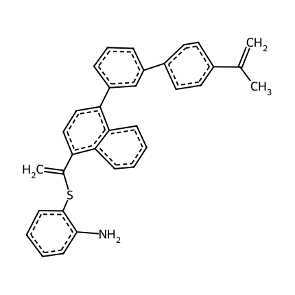 C=C(C)c1ccc(-c2cccc(-c3ccc(C(=C)Sc4ccccc4N)c4ccccc34)c2)cc1